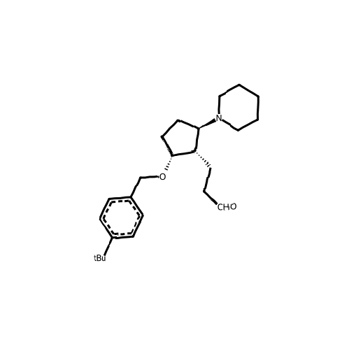 CC(C)(C)c1ccc(CO[C@@H]2CC[C@@H](N3CCCCC3)[C@@H]2CCC=O)cc1